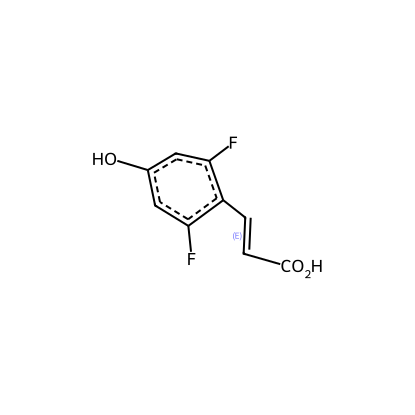 O=C(O)/C=C/c1c(F)cc(O)cc1F